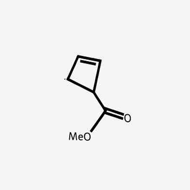 COC(=O)C1[CH]C=C1